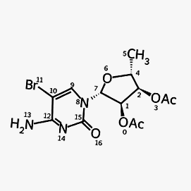 CC(=O)O[C@@H]1[C@H](OC(C)=O)[C@@H](C)O[C@H]1n1cc(Br)c(N)nc1=O